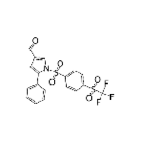 O=Cc1cc(-c2ccccc2)n(S(=O)(=O)c2ccc(S(=O)(=O)C(F)(F)F)cc2)c1